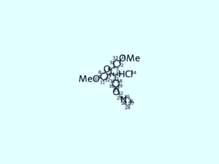 COc1ccc(-c2oc3cc(OC)ccc3c2C(C)c2ccc(OCCN3CCCCC3)cc2)cc1.Cl